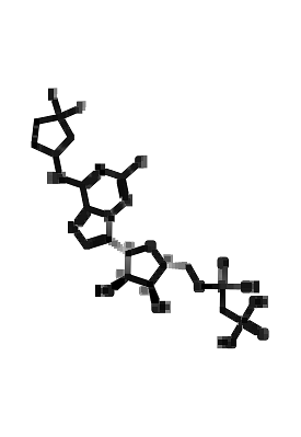 O=P(O)(O)CP(=O)(O)OC[C@H]1O[C@@H](c2cnc3c(NC4CCC(F)(F)C4)nc(Cl)nn23)[C@H](O)[C@@H]1O